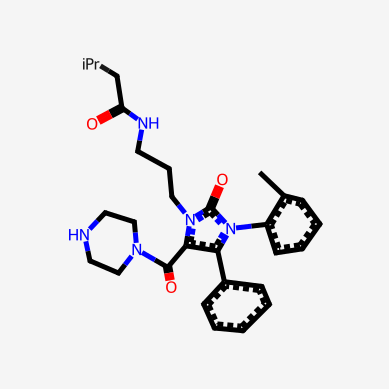 Cc1ccccc1-n1c(-c2ccccc2)c(C(=O)N2CCNCC2)n(CCCNC(=O)CC(C)C)c1=O